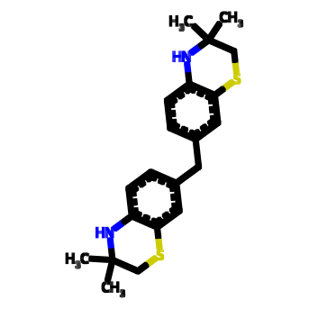 CC1(C)CSc2cc(Cc3ccc4c(c3)SCC(C)(C)N4)ccc2N1